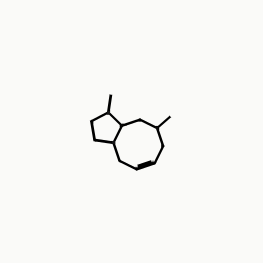 CC1C/C=C\CC2CCC(C)[C]2C1